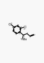 C=CCC(CCCC)c1ccc(Cl)cc1Cl